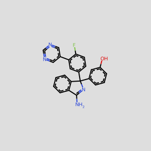 NC1=NC(c2cccc(O)c2)(c2ccc(F)c(-c3cncnc3)c2)c2ccccc21